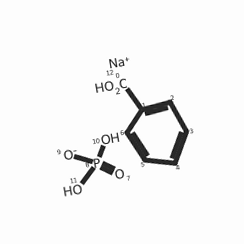 O=C(O)c1ccccc1.O=P([O-])(O)O.[Na+]